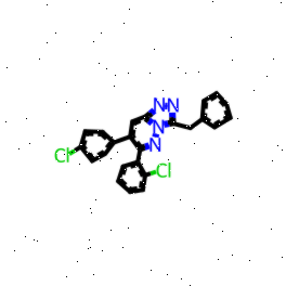 Clc1ccc(-c2cc3nnc(Cc4ccccc4)n3nc2-c2ccccc2Cl)cc1